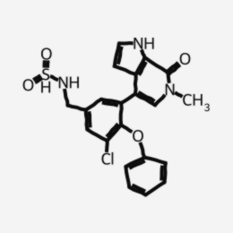 Cn1cc(-c2cc(CN[SH](=O)=O)cc(Cl)c2Oc2ccccc2)c2cc[nH]c2c1=O